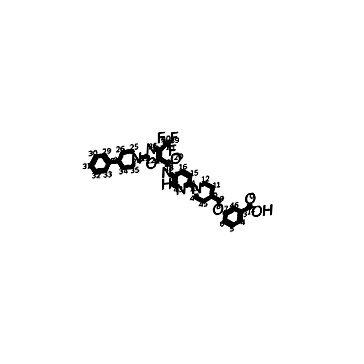 O=C(O)c1cccc(OCC2CCN(c3ccc(NC(=O)c4oc(N5CCC(c6ccccc6)CC5)nc4C(F)(F)F)cn3)CC2)c1